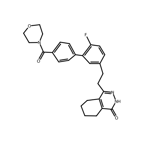 O=C(c1ccc(-c2cc(CCc3n[nH]c(=O)c4c3CCCC4)ccc2F)cc1)N1CCOCC1